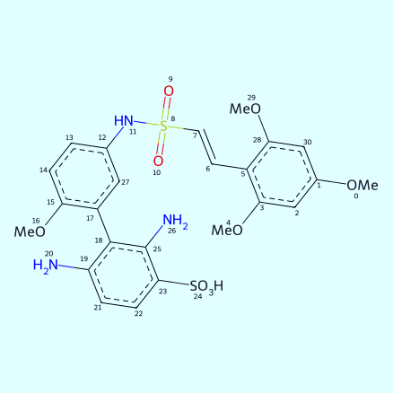 COc1cc(OC)c(C=CS(=O)(=O)Nc2ccc(OC)c(-c3c(N)ccc(S(=O)(=O)O)c3N)c2)c(OC)c1